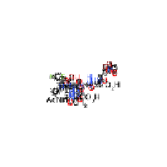 CC(=O)N[C@@H](C)C(=O)N[C@H](C)C(=O)N[C@@H](CC(=O)O)C(=O)N[C@@H](CCN(C(=O)CO)[C@@H](c1cc(-c2cc(F)ccc2F)cn1Cc1ccccc1)C(C)(C)C)C(=O)NCCNC(=O)CC[C@H](NC(=O)CCCC(=O)ON1C(=O)CCC1=O)C(=O)O